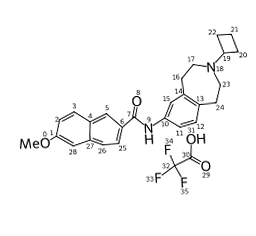 COc1ccc2cc(C(=O)Nc3ccc4c(c3)CCN(C3CCC3)CC4)ccc2c1.O=C(O)C(F)(F)F